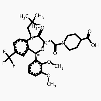 COc1cccc([C@@H]2O[C@@H](CC(=O)N3CCC(C(=O)O)CC3)C(=O)N(CC(C)(C)C)c3ccc(C(F)(F)F)cc32)c1OC